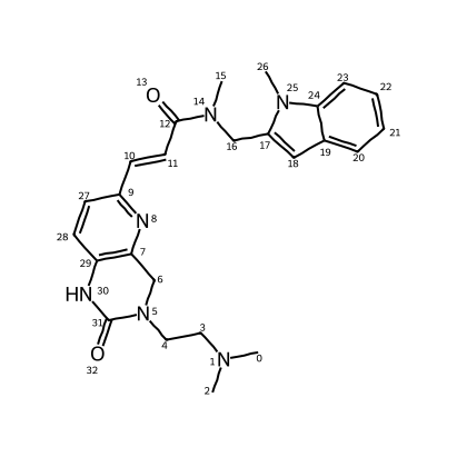 CN(C)CCN1Cc2nc(C=CC(=O)N(C)Cc3cc4ccccc4n3C)ccc2NC1=O